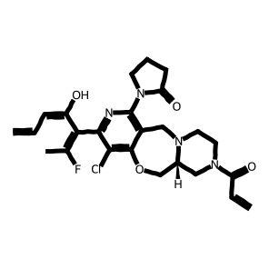 C=C/C=C(O)\C(=C(/C)F)c1nc(N2CCCC2=O)c2c(c1Cl)OC[C@H]1CN(C(=O)C=C)CCN1C2